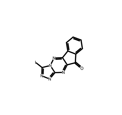 O=C1c2ccccc2-c2nn3c(I)nnc3nc21